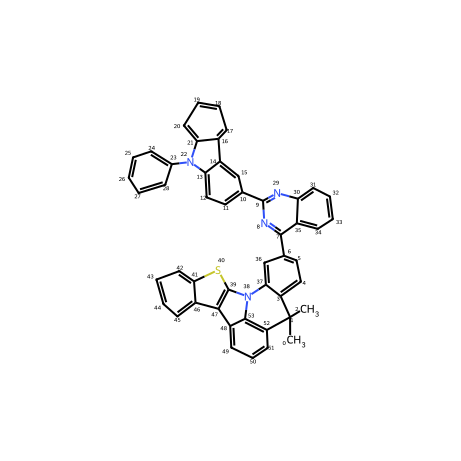 CC1(C)c2ccc(-c3nc(-c4ccc5c(c4)c4ccccc4n5-c4ccccc4)nc4ccccc34)cc2-n2c3sc4ccccc4c3c3cccc1c32